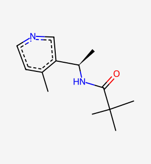 Cc1ccncc1[C@@H](C)NC(=O)C(C)(C)C